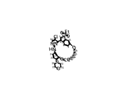 CCS(=O)(=O)n1cc2c3ccc(cc31)OCCCCCCOc1cc(ccc1N1CCOCC1)Nc1ncc(Cl)c-2n1